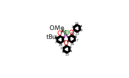 COCOc1c(P(Cl)c2c(Oc3ccccc3)cccc2Oc2ccccc2)cccc1C(C)(C)C